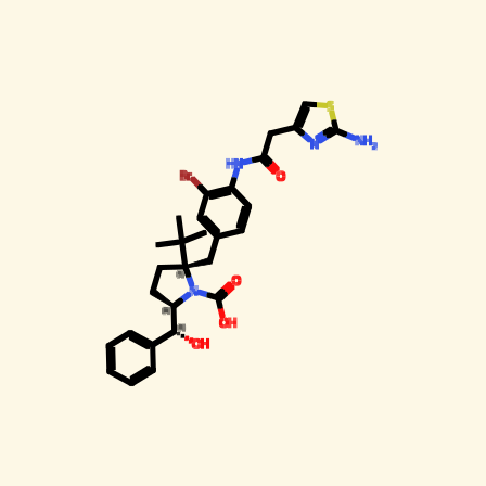 CC(C)(C)[C@@]1(Cc2ccc(NC(=O)Cc3csc(N)n3)c(Br)c2)CC[C@H]([C@H](O)c2ccccc2)N1C(=O)O